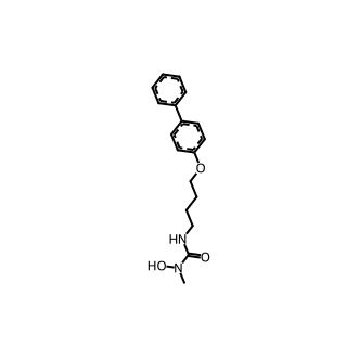 CN(O)C(=O)NCCCCOc1ccc(-c2ccccc2)cc1